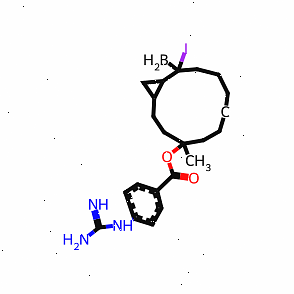 BC1(I)CCCCCCC(C)(OC(=O)c2ccc(NC(=N)N)cc2)CCC2CC21